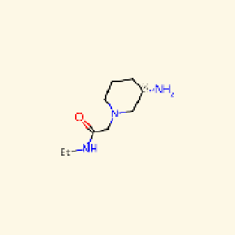 CCNC(=O)CN1CCC[C@H](N)C1